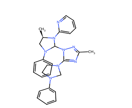 Cc1nc(N2CCN(c3ccccc3)C2)n(C2N(c3ccccc3)C[C@@H](C)N2c2ccccn2)n1